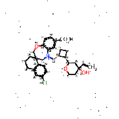 C=CC1(O)CCOC([C@@H]2CC[C@H]2CN2CC3(CCCc4cc(Cl)ccc43)COc3ccc(C(=O)O)cc32)C1